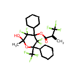 C=C(C(=O)OC1(C2CCCCC2)C(F)(F)C(C)(O)OC(C2CCCCC2)(C(F)(F)F)C1(F)F)C(F)(F)F